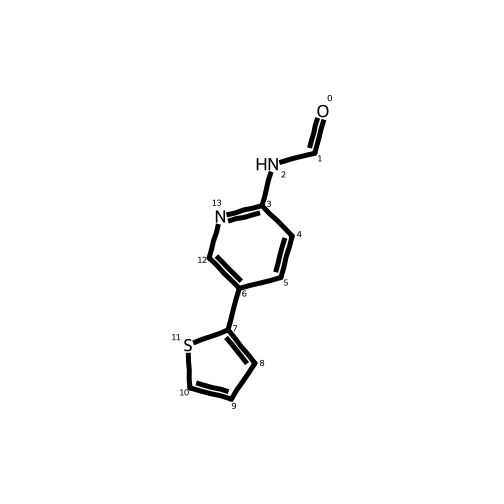 O=CNc1ccc(-c2cccs2)cn1